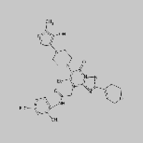 CCc1c(N2CCN(c3cnn(C)c3O)CC2)c(=O)n2nc(C3=CCOCC3)nc2n1CC(=O)Nc1ccc(C(F)(F)F)cc1C